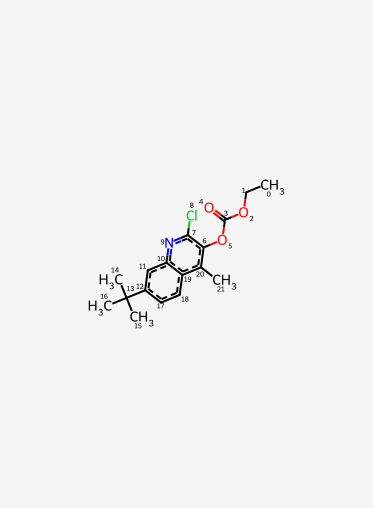 CCOC(=O)Oc1c(Cl)nc2cc(C(C)(C)C)ccc2c1C